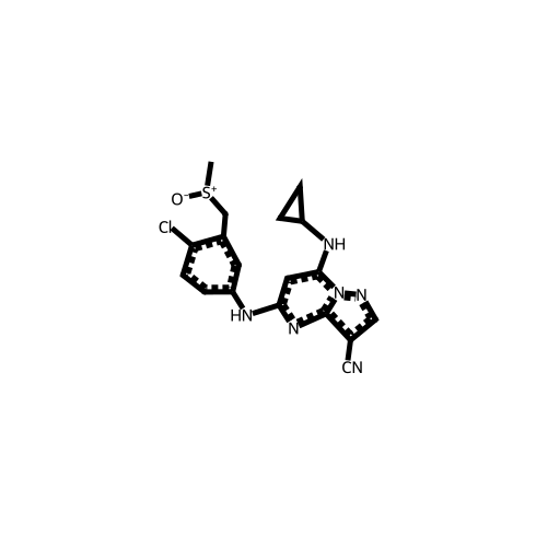 C[S+]([O-])Cc1cc(Nc2cc(NC3CC3)n3ncc(C#N)c3n2)ccc1Cl